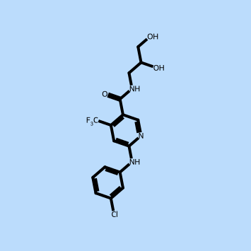 O=C(NCC(O)CO)c1cnc(Nc2cccc(Cl)c2)cc1C(F)(F)F